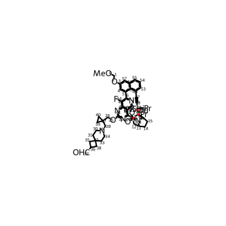 COCOc1cc(-c2ncc3c(N4CC5CCC(C4)N5C(=O)OC(C)(C)C)nc(OCC4(CN5CCC6(CC5)CC(C=O)C6)CC4)nc3c2F)c2c(C#C[Si](C(C)C)(C(C)C)C(C)C)cccc2c1